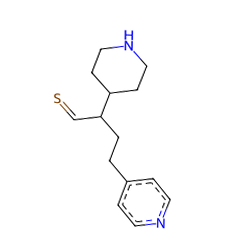 S=CC(CCc1ccncc1)C1CCNCC1